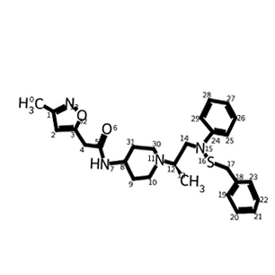 Cc1cc(CC(=O)NC2CCN([C@H](C)CN(SCc3ccccc3)c3ccccc3)CC2)on1